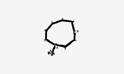 NP1CCCCCCCC1